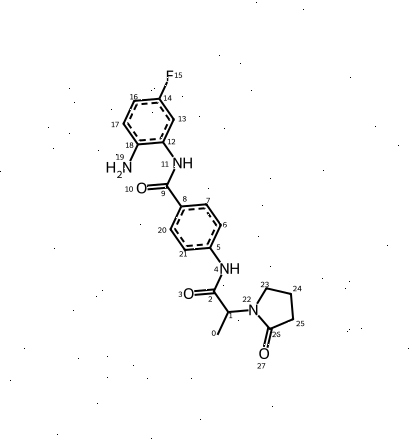 CC(C(=O)Nc1ccc(C(=O)Nc2cc(F)ccc2N)cc1)N1CCCC1=O